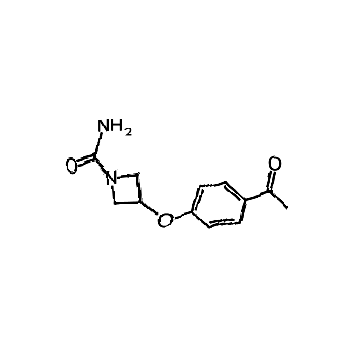 CC(=O)c1ccc(OC2CN(C(N)=O)C2)cc1